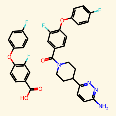 Nc1ccc(C2CCN(C(=O)c3ccc(Oc4ccc(F)cc4)c(F)c3)CC2)nn1.O=C(O)c1ccc(Oc2ccc(F)cc2)c(F)c1